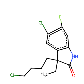 CCC1(CCCCCl)C(=O)Nc2cc(F)c(Cl)cc21